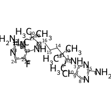 C[C@H](Nc1nc(N)ncc1Cl)C(C)(C)CCC[C@H](Nc1nc(N)ncc1F)C(C)(C)C